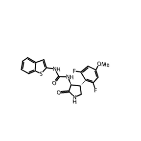 COc1cc(F)c([C@@H]2CNC(=O)[C@H]2NC(=O)Nc2cc3ccccc3s2)c(F)c1